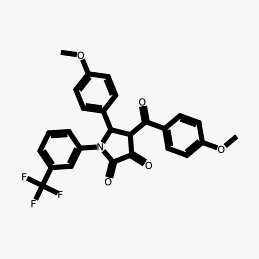 COc1ccc(C(=O)C2C(=O)C(=O)N(c3cccc(C(F)(F)F)c3)C2c2ccc(OC)cc2)cc1